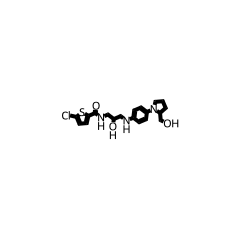 O=C(NCC(O)CNc1ccc(N2CCCC2CO)cc1)c1ccc(Cl)s1